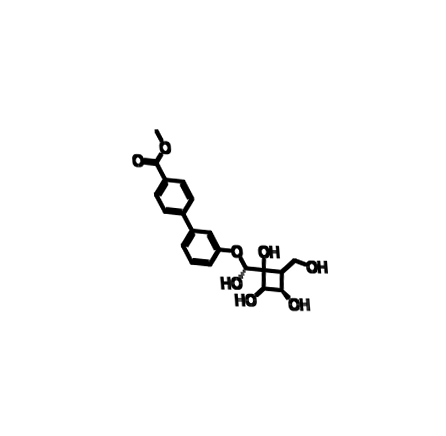 COC(=O)c1ccc(-c2cccc(O[C@@H](O)C3(O)C(O)[C@H](O)C3CO)c2)cc1